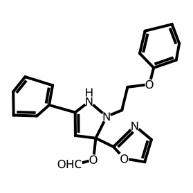 O=COC1(c2ncco2)C=C(c2ccccc2)NN1CCOc1ccccc1